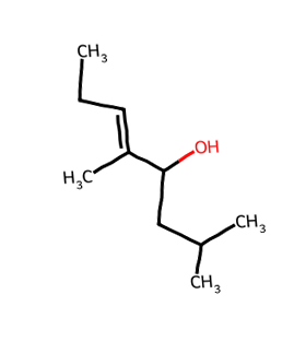 CC/C=C(\C)C(O)CC(C)C